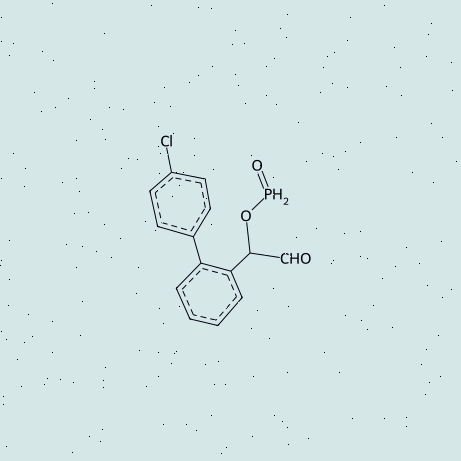 O=CC(O[PH2]=O)c1ccccc1-c1ccc(Cl)cc1